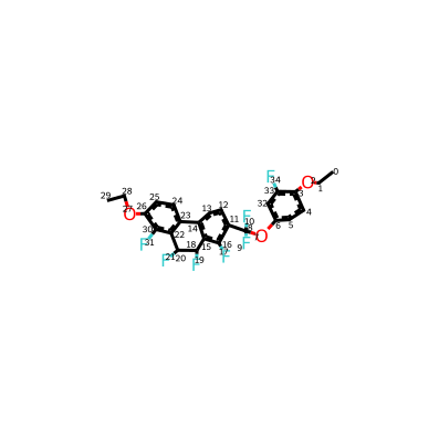 CCOc1ccc(OC(F)(F)c2ccc3c(c2F)C(F)C(F)c2c-3ccc(OCC)c2F)cc1F